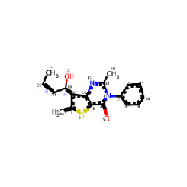 C=c1sc2c(=O)n(-c3ccccc3)c(C)nc2/c1=C(O)/C=C\C